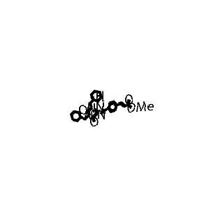 COC(=O)C=Cc1ccc(-c2nc3c(=O)n(CC4CCCCC4)c(=O)n(CC4CCCCC4)c3[nH]2)cc1